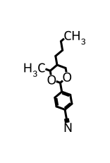 CCCCC1COC(c2ccc(C#N)cc2)OC1C